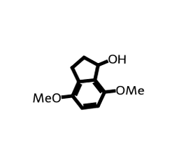 COc1ccc(OC)c2c1CCC2O